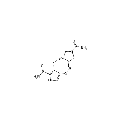 NC(=O)c1[nH]cc2snc3c(coc12)CN(C(N)=O)C3